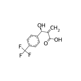 C=C(C(=O)O)[C@H](O)c1ccc(C(F)(F)F)cc1